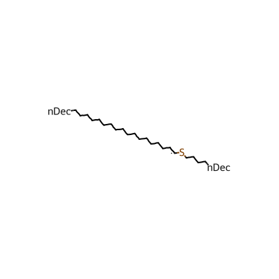 CCCCCCCCCCCCCCCCCCCCCCCCCCC[CH]SCCCCCCCCCCCCCC